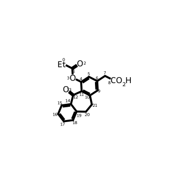 CCC(=O)Oc1cc(CC(=O)O)cc2c1C(=O)c1ccccc1CC2